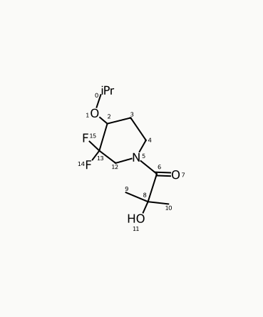 CC(C)OC1CCN(C(=O)C(C)(C)O)CC1(F)F